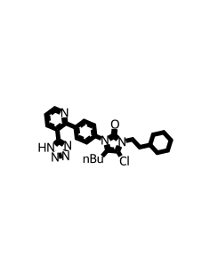 CCCCc1c(Cl)n(CCC2CCCCC2)c(=O)n1-c1ccc(-c2ncccc2-c2nnn[nH]2)cc1